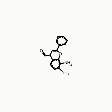 Nc1ccc2c(c1N)OC(c1ccccc1)=CC2C=O